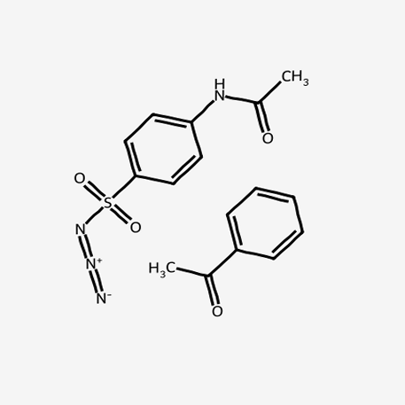 CC(=O)Nc1ccc(S(=O)(=O)N=[N+]=[N-])cc1.CC(=O)c1ccccc1